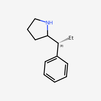 CC[C@H](c1ccccc1)C1CCCN1